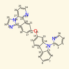 c1ccc(-n2c3ccccc3c3ccc(Oc4ccc5c(c4)c4ncccc4n4ccnc54)cc32)nc1